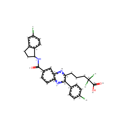 O=C(NC1CCc2cc(F)ccc21)c1ccc2nc(-c3ccc(F)cc3)c(CCCC(F)(F)C(=O)O)nc2c1